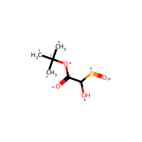 CC(C)(C)OC(=O)C(O)P=O